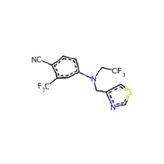 N#Cc1ccc(N(Cc2cscn2)CC(F)(F)F)cc1C(F)(F)F